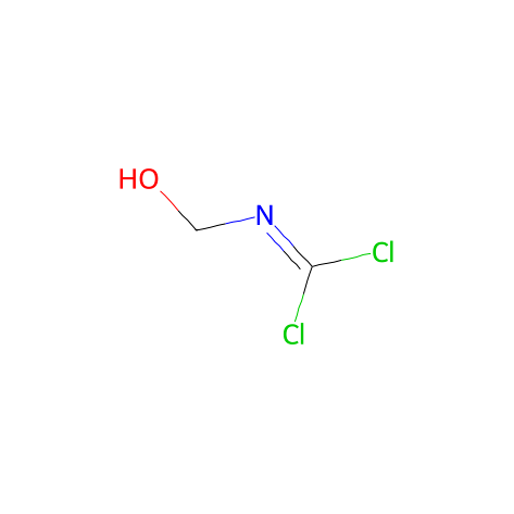 OCN=C(Cl)Cl